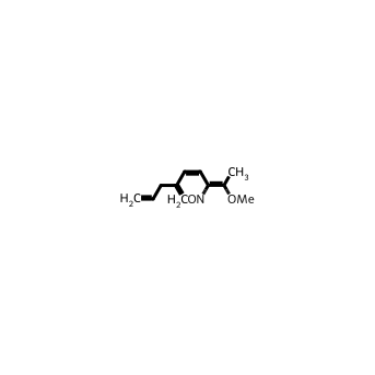 C=CCC(=C)/C=C\C(N=O)=C(/C)OC